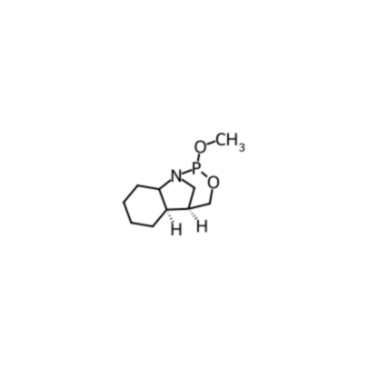 COP1OC[C@@H]2CN1C1CCCC[C@@H]12